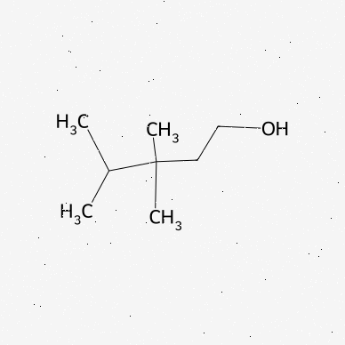 CC(C)C(C)(C)CCO